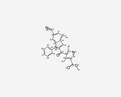 COC(=O)c1cnc(C)c(C(=O)c2cc3c(C)cc(C#N)cc3n2-c2ccccc2)c1C